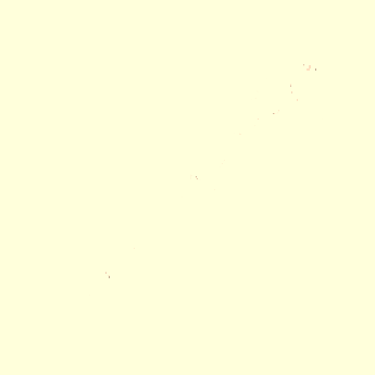 CC(C)(F)CN1CCC(COc2ccc(-c3ccc(C(=O)N4CCCC[C@@H]4C(N)=O)c(F)c3)nc2)CC1